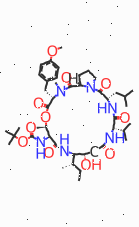 CC[C@H](C)[C@H]1NC(=O)[C@@H](NC(=O)OC(C)(C)C)[C@@H](C)OC(=O)[C@H](Cc2ccc(OC)cc2)N(C)C(=O)[C@@H]2CCCN2C(=O)[C@H](CC(C)C)NC(=O)[C@H](C(C)C)NC(=O)C[C@@H]1O